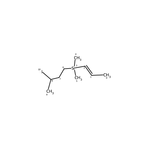 CC=C[Si](C)(C)CCC(C)I